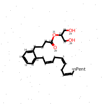 CCCCC/C=C\C/C=C\C/C=C\Cc1ccccc1CCCC(=O)OC(CO)CO